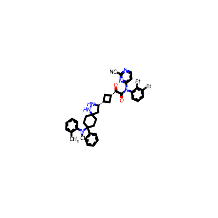 CCc1cccc(N(C(=O)C(=O)[C@H]2C[C@@H](C3CC4(CCC(c5ccccc5)(N(C)c5ccccc5C)CC4)NN3)C2)c2ccnc(C#N)n2)c1CC